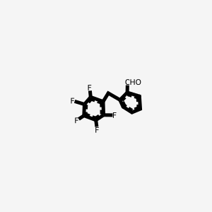 O=Cc1ccccc1Cc1c(F)c(F)c(F)c(F)c1F